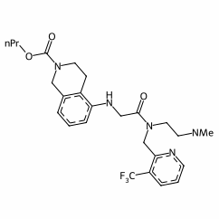 CCCOC(=O)N1CCc2c(cccc2NCC(=O)N(CCNC)Cc2ncccc2C(F)(F)F)C1